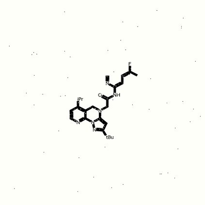 C=N/C(=C\C=C(/C)F)NC(=O)CN1Cc2c(C(C)C)ccnc2-n2nc(C(C)(C)C)cc21